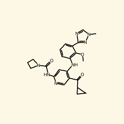 COc1c(Nc2cc(NC(=O)N3CCC3)ncc2C(=O)C2CC2)cccc1-c1ncn(C)n1